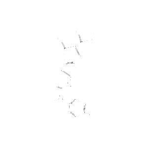 COC(=O)c1cc2sc(NC(=O)N(C)c3ccc(Cl)cc3)cc2oc1=O